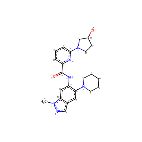 Cn1ncc2cc(N3CCCCC3)c(NC(=O)c3cccc(N4CCC(O)C4)n3)cc21